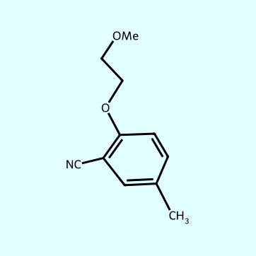 COCCOc1ccc(C)cc1C#N